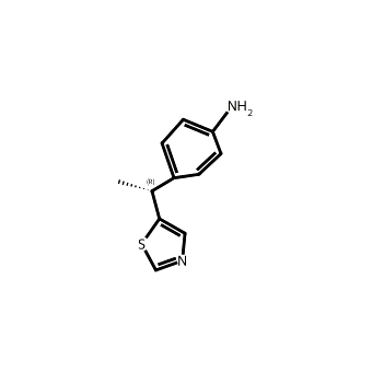 C[C@H](c1ccc(N)cc1)c1cncs1